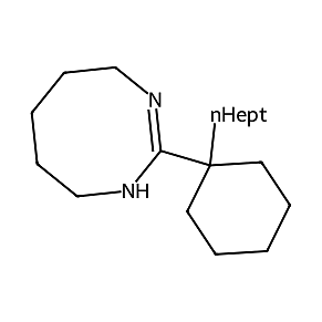 CCCCCCCC1(/C2=N/CCCCCN2)CCCCC1